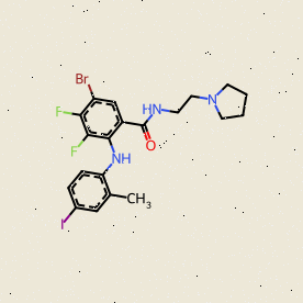 Cc1cc(I)ccc1Nc1c(C(=O)NCCN2CCCC2)cc(Br)c(F)c1F